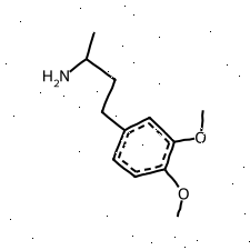 COc1ccc(CCC(C)N)cc1OC